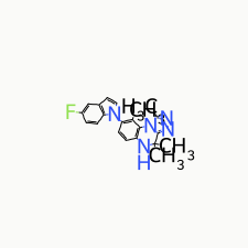 Cc1c(-n2ccc3cc(F)ccc32)ccc2c1-n1c(C)nnc1C(C)(C)N2